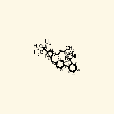 CCCCn1nc(C(C)(C)C)nc1Cc1ccc(-c2ccccc2-c2nnn[nH]2)cn1